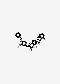 Cc1cccc(C)c1CS(=O)(=O)c1ccc2c(c1)NC(=O)/C(=C/c1ccc(OCc3ccccc3)c([N+](=O)[O-])c1)S2